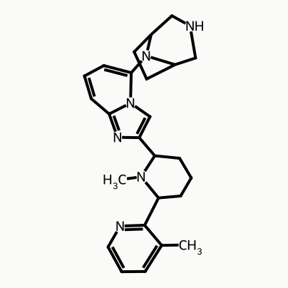 Cc1cccnc1C1CCCC(c2cn3c(N4C5CCC4CNC5)cccc3n2)N1C